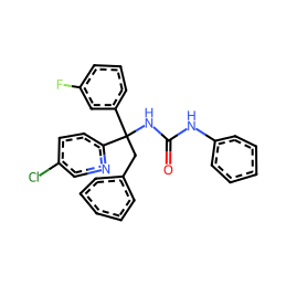 O=C(Nc1ccccc1)NC(Cc1ccccc1)(c1cccc(F)c1)c1ccc(Cl)cn1